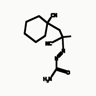 CC(C#N)(CC1(C#N)CCCCC1)N=NC(N)=O